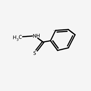 CNC(=S)c1[c]cccc1